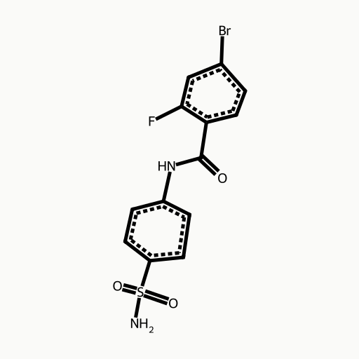 NS(=O)(=O)c1ccc(NC(=O)c2ccc(Br)cc2F)cc1